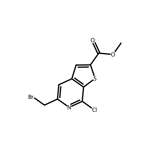 COC(=O)c1cc2cc(CBr)nc(Cl)c2s1